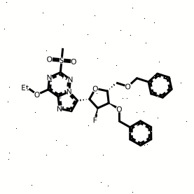 CCOc1nc(S(C)(=O)=O)nn2c([C@@H]3O[C@H](COCc4ccccc4)[C@@H](OCc4ccccc4)[C@H]3F)cnc12